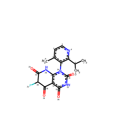 Cc1ccnc(C(C)C)c1-n1c2c(c(=O)[nH]c1=O)C(=O)C(F)C(=O)N2